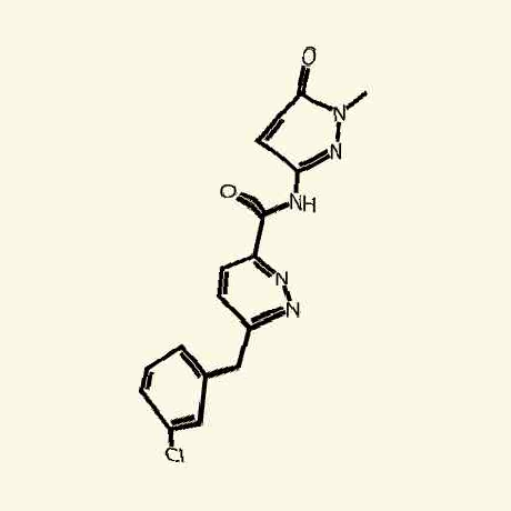 Cn1nc(NC(=O)c2ccc(Cc3cccc(Cl)c3)nn2)ccc1=O